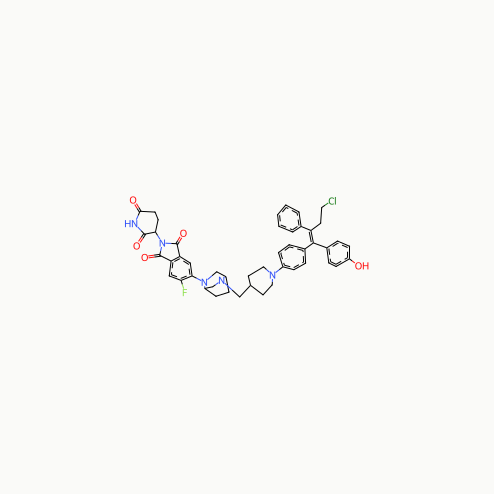 O=C1CCC(N2C(=O)c3cc(F)c(N4CC5CCC4CN5CC4CCN(c5ccc(C(=C(CCCl)c6ccccc6)c6ccc(O)cc6)cc5)CC4)cc3C2=O)C(=O)N1